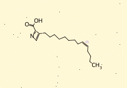 CCCC/C=C\CCCCCCCCC1=CN=C1C(=O)O